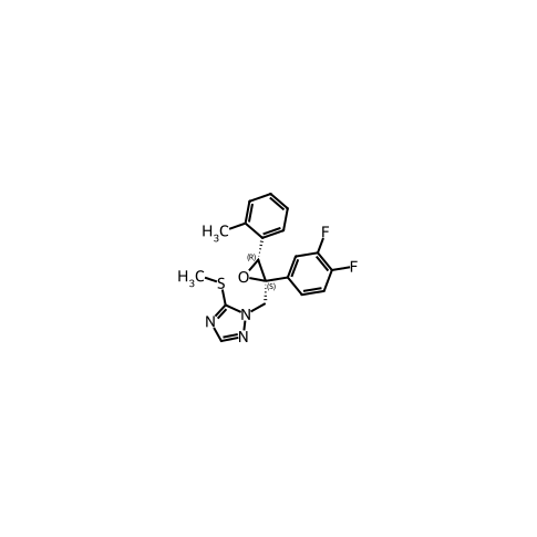 CSc1ncnn1C[C@]1(c2ccc(F)c(F)c2)O[C@@H]1c1ccccc1C